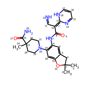 CC1(C)Cc2cc(NC(=O)/C(C=N)=C3\N=CC=CN3)c(N3CCC(C)(C(N)=O)CC3)cc2O1